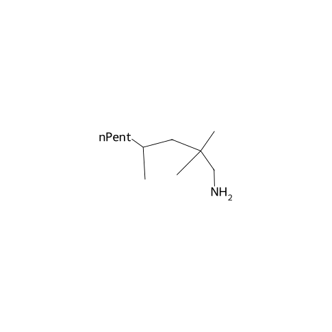 CCCCCC(C)CC(C)(C)CN